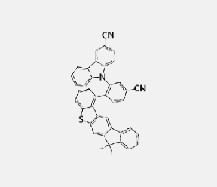 CC1(C)c2ccccc2-c2cc3c(cc21)sc1cccc(-c2ccc(C#N)cc2-n2c4ccccc4c4cc(C#N)ccc42)c13